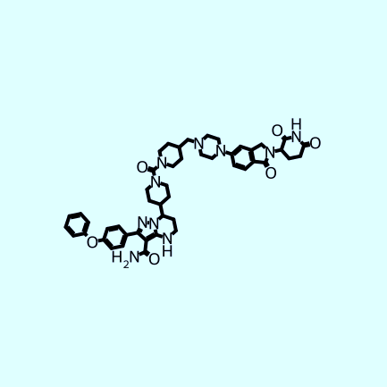 NC(=O)c1c(-c2ccc(Oc3ccccc3)cc2)nn2c1NCCC2C1CCN(C(=O)N2CCC(CN3CCN(c4ccc5c(c4)CN(C4CCC(=O)NC4=O)C5=O)CC3)CC2)CC1